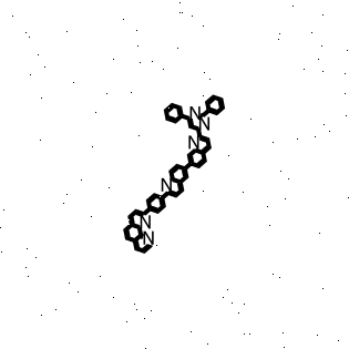 c1ccc(-c2cc(-c3ccc4ccc(-c5ccc6nc(-c7ccc(-c8ccc9ccc%10cccnc%10c9n8)cc7)ccc6c5)cc4n3)nc(-c3ccccc3)n2)cc1